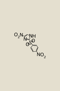 O=[N+]([O-])c1ccc(S(=O)(=O)c2nc([N+](=O)[O-])c[nH]2)cc1